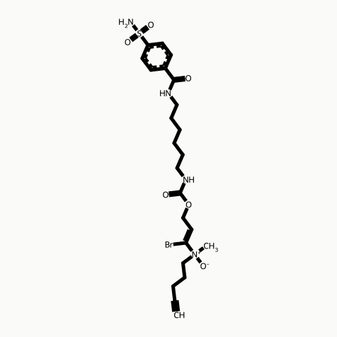 C#CCCC[N+](C)([O-])C(Br)=CCOC(=O)NCCCCCCNC(=O)c1ccc(S(N)(=O)=O)cc1